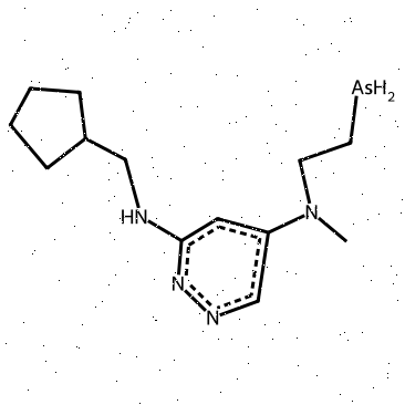 CN(CC[AsH2])c1cnnc(NCC2CCCC2)c1